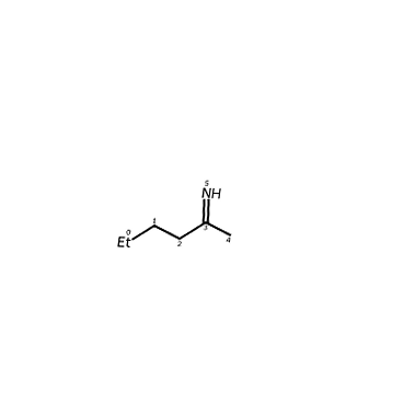 CCCCC(C)=N